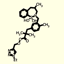 CCn1cc(COOC(=O)C(C)(C)Cc2ccc(C)c(CN3CC(C)Cc4ccccc4S3(O)O)c2)nn1